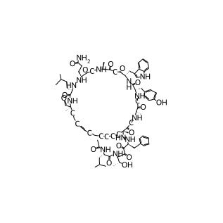 CC(=O)N[C@@H](CC(C)C)C(=O)N[C@H](C(=O)C(=O)[C@H](Cc1ccccc1)NN[C@]1(C)CCCCCC/C=C/CCC[C@@](C)(C=O)NC(=O)[C@H](CCC(C)C)NN[C@@H](CCC(N)=O)C(=O)CN[C@@H](C)C(=O)CC(=O)[C@H](Cc2c[nH]c3ccccc23)NC(=O)[C@H](Cc2ccc(O)cc2)NCC(=O)[C@H](C)NCC1=O)[C@@H](C)O